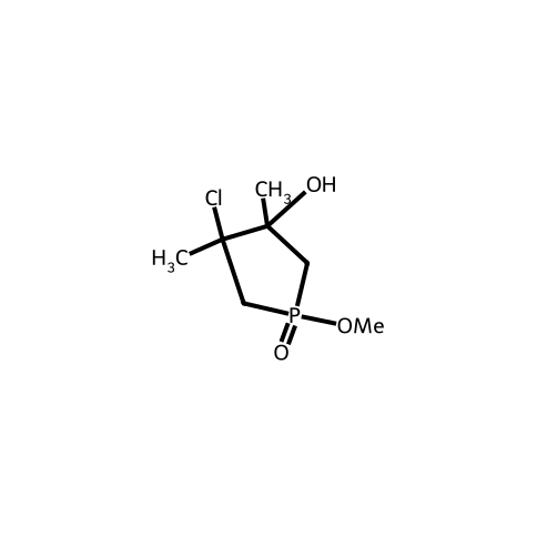 COP1(=O)CC(C)(O)C(C)(Cl)C1